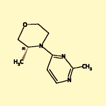 Cc1nccc(N2CCOC[C@H]2C)n1